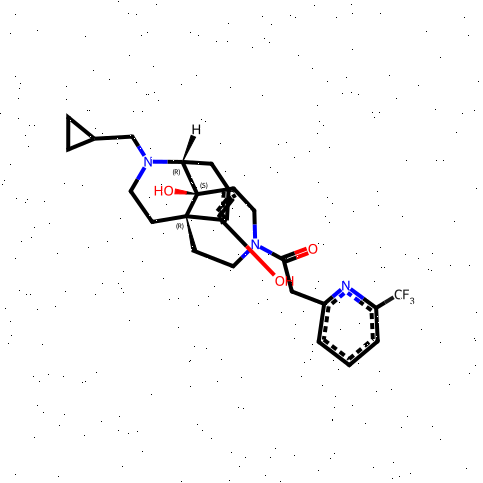 O=C(Cc1cccc(C(F)(F)F)n1)N1CC[C@]23CCN(CC4CC4)[C@H](Cc4ccc(O)cc42)[C@]3(O)CC1